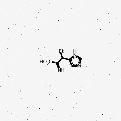 CCC(C(=N)C(=O)O)c1cnc[nH]1